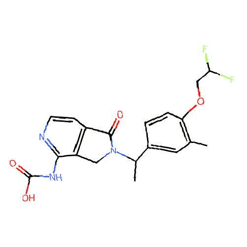 Cc1cc(C(C)N2Cc3c(ccnc3NC(=O)O)C2=O)ccc1OCC(F)F